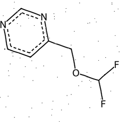 FC(F)OCc1c[c]ncn1